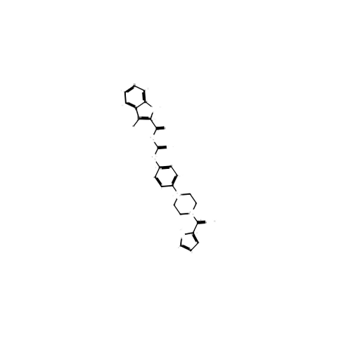 O=C(NC(=S)Nc1ccc(N2CCN(C(=O)c3cccs3)CC2)cc1)c1sc2ccccc2c1Cl